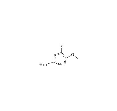 COc1cc[c]([SnH])cc1F